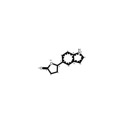 O=C1CCC(c2ccc3[nH]ccc3c2)O1